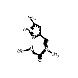 CN(Cc1cc(N)[nH]n1)C(=O)OC(C)(C)C